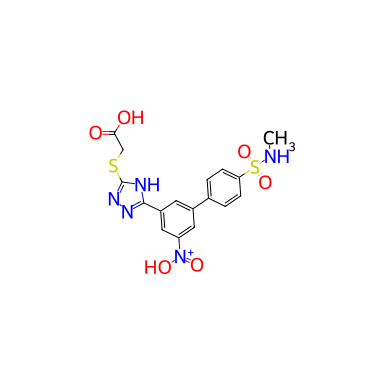 CNS(=O)(=O)c1ccc(-c2cc(-c3nnc(SCC(=O)O)[nH]3)cc([N+](=O)O)c2)cc1